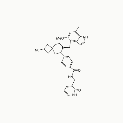 COc1cc(C)c2[nH]ccc2c1CN1CCC2(CC(C#N)C2)CC1c1ccc(C(=O)NCc2ccc[nH]c2=O)cc1